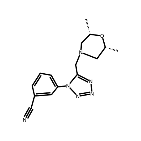 C[C@@H]1CN(Cc2nnnn2-c2cccc(C#N)c2)C[C@H](C)O1